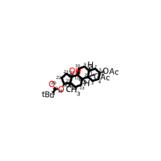 CC(=O)OC[C@]12CC[C@H](OC(C)=O)C[C@@H]1CC=C1[C@@H]2CC[C@]2(C)[C@@H](OC(=O)C(C)(C)C)CC[C@]12O